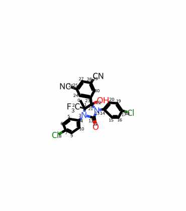 C[C@@]1(C(F)(F)F)N(c2ccc(Cl)cc2)C(=O)N(c2ccc(Cl)cc2)C1(O)c1cc(C#N)cc(C#N)c1